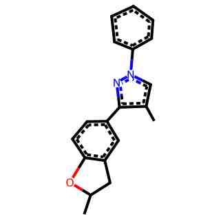 Cc1cn(-c2ccccc2)nc1-c1ccc2c(c1)CC(C)O2